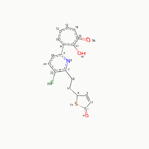 O=C1C=CC(CCc2nc(-c3ccccc(=O)c3O)ccc2F)S1